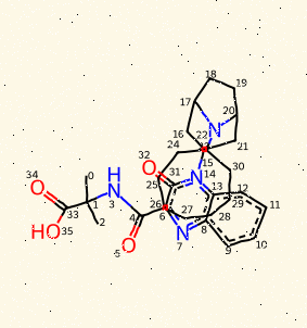 CC(C)(NC(=O)c1nc2ccccc2n(C2CC3CCC(C2)N3C2CCCCCCC2)c1=O)C(=O)O